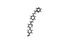 C=C[C@H]1CC[C@H]([C@H]2CC[C@H](C=C[C@H]3CC[C@H](CCCc4ccccc4)CC3)CC2)CC1